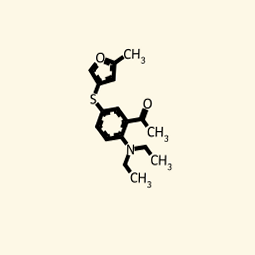 CCN(CC)c1ccc(Sc2coc(C)c2)cc1C(C)=O